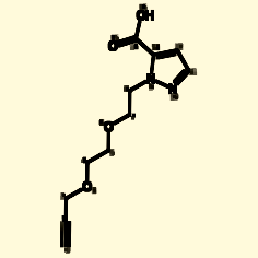 C#CCOCCOCCn1nccc1C(=O)O